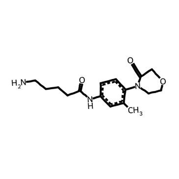 Cc1cc(NC(=O)CCCCN)ccc1N1CCOCC1=O